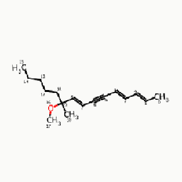 C/C=C/C=C/C#C/C=C/C(C)(CCCCC)OC